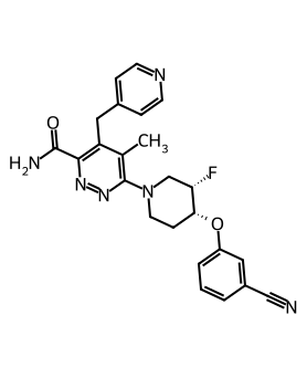 Cc1c(N2CC[C@@H](Oc3cccc(C#N)c3)[C@@H](F)C2)nnc(C(N)=O)c1Cc1ccncc1